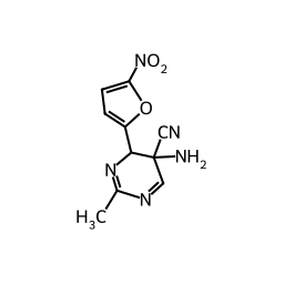 CC1=NC(c2ccc([N+](=O)[O-])o2)C(N)(C#N)C=N1